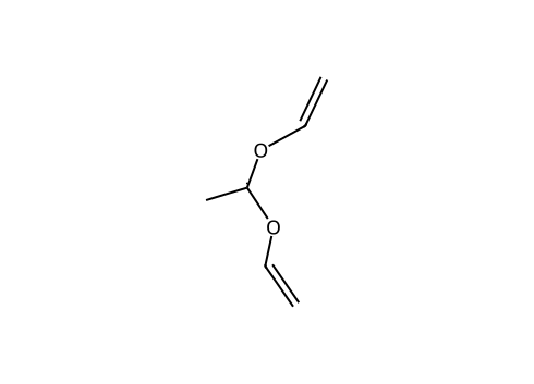 C=CO[C](C)OC=C